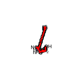 CCCN(CCCN/C(=N/c1cccc(C#N)c1)NCCOCCOCCOCCOCCOCCOCCOCCOCCOCCOCCC(=O)Oc1c(F)c(F)cc(F)c1F)C(=O)C1=Cc2ccc(-c3cccc(S(=O)(=O)N4CC(CO)C4)c3)cc2N=C(N)C1